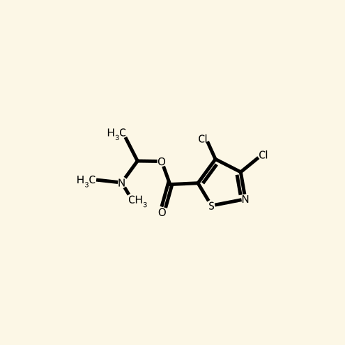 CC(OC(=O)c1snc(Cl)c1Cl)N(C)C